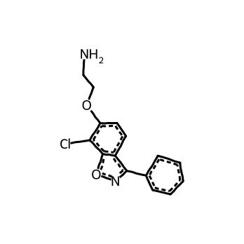 NCCOc1ccc2c(-c3ccccc3)noc2c1Cl